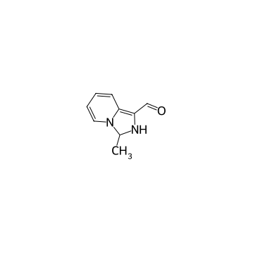 CC1NC(C=O)=C2C=CC=CN21